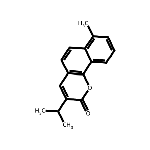 Cc1cccc2c1ccc1cc(C(C)C)c(=O)oc12